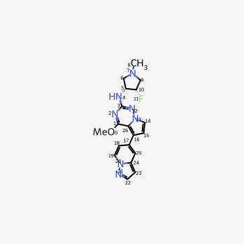 COc1nc(N[C@@H]2CN(C)C[C@@H]2F)nn2ccc(-c3ccn4nccc4c3)c12